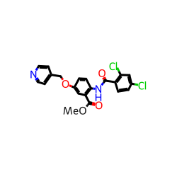 COC(=O)c1cc(OCc2ccncc2)ccc1NC(=O)c1ccc(Cl)cc1Cl